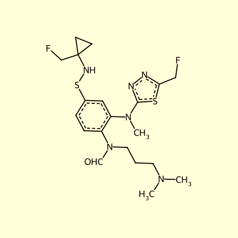 CN(C)CCCN(C=O)c1ccc(SNC2(CF)CC2)cc1N(C)c1nnc(CF)s1